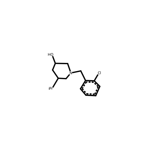 CC(C)C1CC(O)CN(Cc2ccccc2Cl)C1